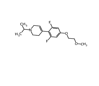 COCCOc1cc(F)c(C2=CCN(C(C)C)CC2)c(F)c1